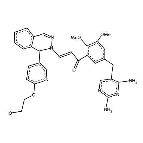 COc1cc(Cc2cnc(N)nc2N)cc(C(=O)/C=C/N2N=Cc3ccccc3C2c2ccc(OCCO)nc2)c1OC